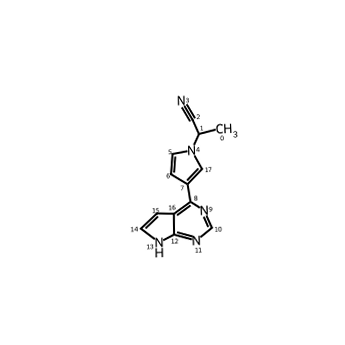 CC(C#N)n1ccc(-c2ncnc3[nH]ccc23)c1